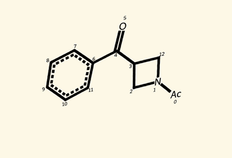 CC(=O)N1CC(C(=O)c2ccccc2)C1